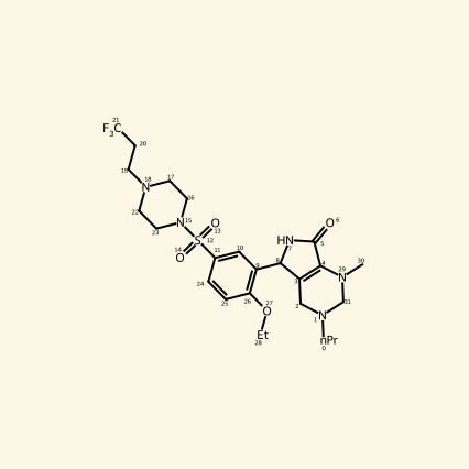 CCCN1CC2=C(C(=O)NC2c2cc(S(=O)(=O)N3CCN(CCC(F)(F)F)CC3)ccc2OCC)N(C)C1